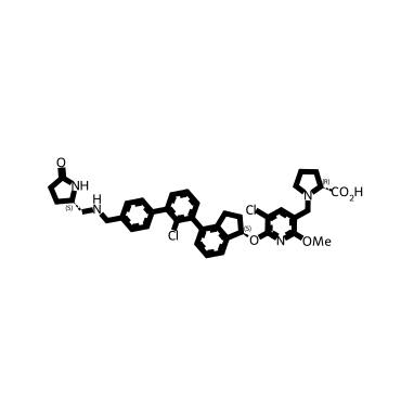 COc1nc(O[C@H]2CCc3c(-c4cccc(-c5ccc(CNC[C@@H]6CCC(=O)N6)cc5)c4Cl)cccc32)c(Cl)cc1CN1CCC[C@@H]1C(=O)O